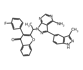 Cc1n[nH]c2ccc(-c3nn(C(C)c4oc5ccccc5c(=O)c4-c4cccc(F)c4)c4ncnc(N)c34)cc12